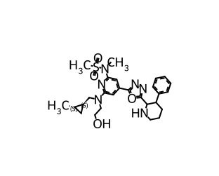 C[C@H]1C[C@@H]1CN(CCO)c1cc(-c2nnc(C3NCCCC3c3ccccc3)o2)cc(N(C)S(C)(=O)=O)n1